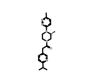 Cc1ccc(N2CCN(C(=O)Cc3ccc(C(C)C)nc3)C[C@@H]2C)nn1